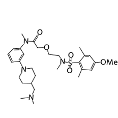 COc1cc(C)c(S(=O)(=O)N(C)CCOCC(=O)N(C)c2cccc(N3CCC(CN(C)C)CC3)c2)c(C)c1